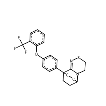 FC(F)(F)c1ccccc1Oc1ccc(C23CCC(CC2)N2CCSN=C23)cc1